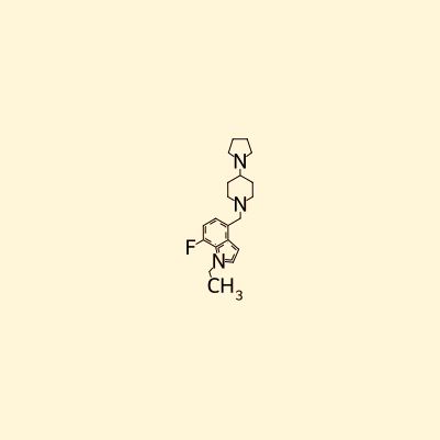 CCn1ccc2c(CN3CCC(N4CCCC4)CC3)ccc(F)c21